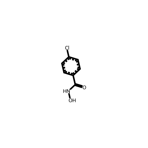 O=C(NO)c1ccc(Cl)cc1